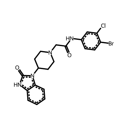 O=C(CN1CCC(n2c(=O)[nH]c3ccccc32)CC1)Nc1ccc(Br)c(Cl)c1